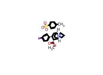 COC(=O)[C@@H]1[C@@H](c2ccc(I)cc2)C[C@@H]2CC[C@H]1[N+]21CCC1.Cc1ccc(S(=O)(=O)[O-])cc1